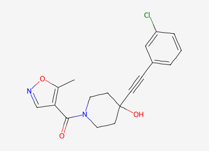 Cc1oncc1C(=O)N1CCC(O)(C#Cc2cccc(Cl)c2)CC1